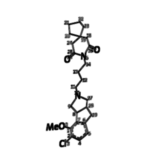 COc1c(Cl)ccc2c1C1CN(CCCCN3C(=O)CC4(CCCC4)CC3=O)CC1C2